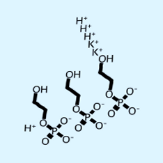 O=P([O-])([O-])OCCO.O=P([O-])([O-])OCCO.O=P([O-])([O-])OCCO.[H+].[H+].[H+].[H+].[K+].[K+]